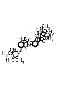 BC(B)(Oc1cccc2c1CN(C(B)(C(=O)NC)C(B)(O)C(B)(O)C=O)C2=O)c1cccc(CN2CC(C)(C)OC(C)(C)C2)c1F